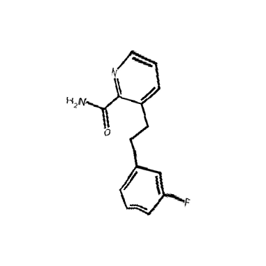 NC(=O)c1ncccc1CCc1cccc(F)c1